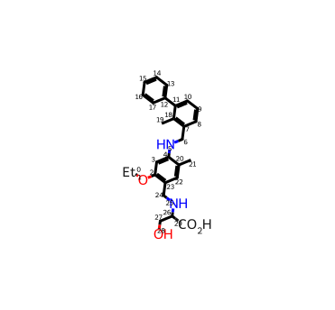 CCOc1cc(NCc2cccc(-c3ccccc3)c2C)c(C)cc1CNC(CO)C(=O)O